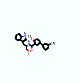 CCOc1ccc(-c2cccc(C#N)c2)cc1C(=O)N[C@@H](CO)Cc1c[nH]c2ccccc12